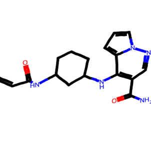 C=CC(=O)NC1CCCC(Nc2c(C(N)=O)cnn3cccc23)C1